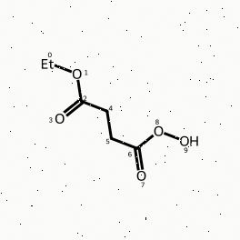 CCOC(=O)CCC(=O)OO